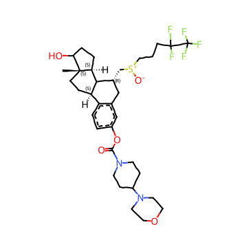 C[C@]12CC[C@@H]3c4ccc(OC(=O)N5CCC(N6CCOCC6)CC5)cc4C[C@@H](C[S+]([O-])CCCC(F)(F)C(F)(F)F)C3[C@@H]1CCC2O